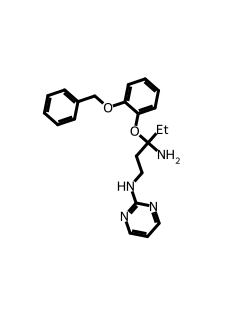 CCC(N)(CCNc1ncccn1)Oc1ccccc1OCc1ccccc1